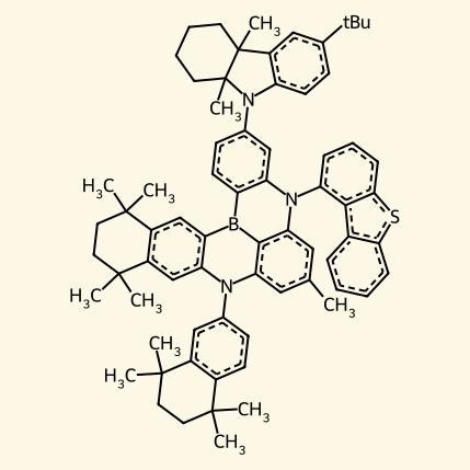 Cc1cc2c3c(c1)N(c1cccc4sc5ccccc5c14)c1cc(N4c5ccc(C(C)(C)C)cc5C5(C)CCCCC45C)ccc1B3c1cc3c(cc1N2c1ccc2c(c1)C(C)(C)CCC2(C)C)C(C)(C)CCC3(C)C